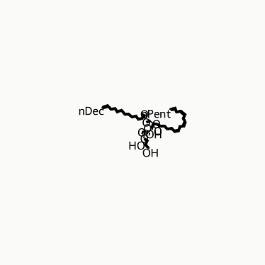 CCCCC/C=C\C/C=C\C/C=C\C/C=C\CCCC(=O)O[C@H](COC(=O)CCCCCCCCC/C=C\CCCCCCCCCC)COP(=O)(O)OC[C@@H](O)CO